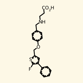 O=C(O)CCNCc1ccc(OCc2cc(-c3ccccc3)c(F)s2)cc1